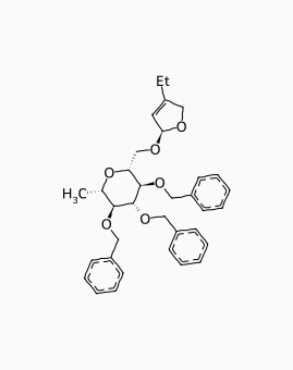 CCC1=C[C@H](OC[C@H]2O[C@@H](C)[C@H](OCc3ccccc3)[C@@H](OCc3ccccc3)[C@@H]2OCc2ccccc2)OC1